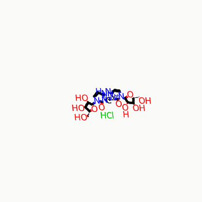 Cl.Nc1ccn(C2O[C@H](CO)[C@@H](O)[C@H]2O)c(=O)[n+]1[C-2][n+]1c(N)ccn(C2O[C@H](CO)[C@@H](O)[C@H]2O)c1=O